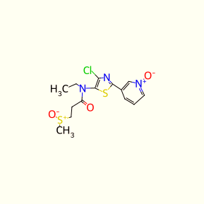 CCN(C(=O)CC[S+](C)[O-])c1sc(-c2ccc[n+]([O-])c2)nc1Cl